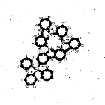 c1ccc([Si](c2ccccc2)(c2ccccc2)c2ccc3c(c2)c2ccc4c5ccccc5n5c6ccccc6n6c7ccccc7c7cccc(c76)n3c2c45)cc1